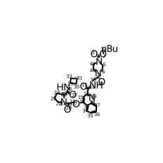 CCCCOC(=O)N1CCN(C(=O)CNC(=O)c2cc(OCC(=O)N3CCC[C@H]3C(=O)NC3CCC3)c3ccccc3n2)CC1